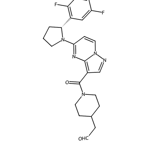 O=CCC1CCN(C(=O)c2cnn3ccc(N4CCC[C@@H]4c4cc(F)ccc4F)nc23)CC1